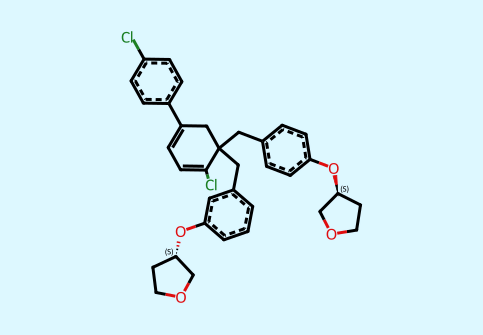 ClC1=CC=C(c2ccc(Cl)cc2)CC1(Cc1ccc(O[C@H]2CCOC2)cc1)Cc1cccc(O[C@H]2CCOC2)c1